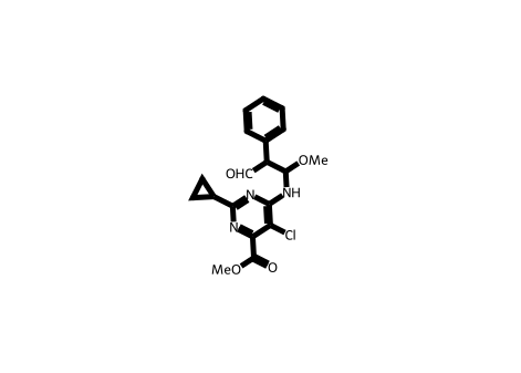 COC(=O)c1nc(C2CC2)nc(NC(OC)C(C=O)c2ccccc2)c1Cl